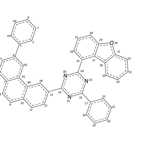 c1ccc(-c2ccc3ccc4ccc(-c5nc(-c6ccccc6)nc(-c6cccc7oc8ccccc8c67)n5)cc4c3c2)cc1